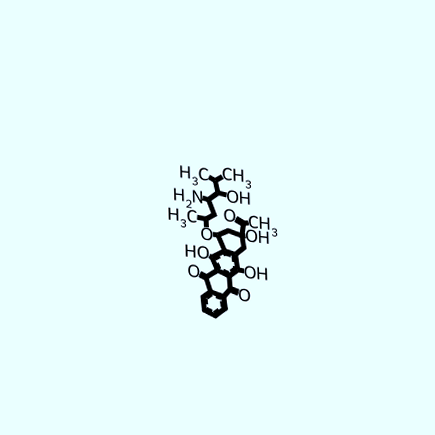 CC(=O)C1(O)Cc2c(O)c3c(c(O)c2C(OC(C)CC(N)C(O)C(C)C)C1)C(=O)c1ccccc1C3=O